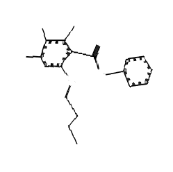 CCCCOc1cc(F)c(F)c(C)c1C(=O)Oc1ccccc1